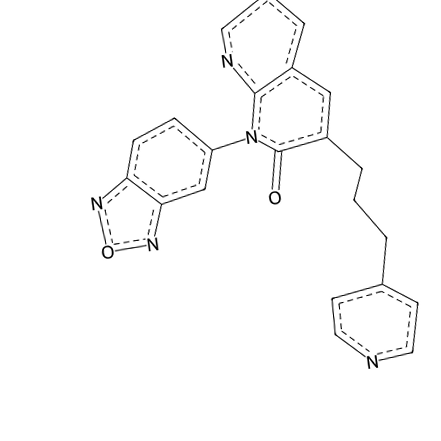 O=c1c(CCCc2ccncc2)cc2cccnc2n1-c1ccc2nonc2c1